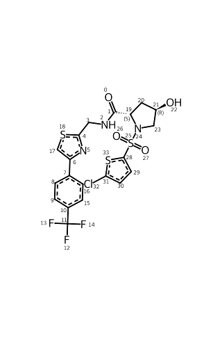 O=C(NCc1nc(-c2ccc(C(F)(F)F)cc2)cs1)[C@@H]1C[C@@H](O)CN1S(=O)(=O)c1ccc(Cl)s1